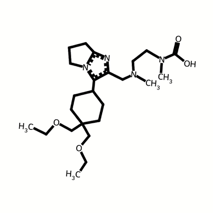 CCOCC1(COCC)CCC(c2c(CN(C)CCN(C)C(=O)O)nc3n2CCC3)CC1